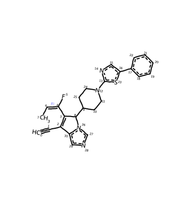 C#CC1=C(/C(F)=C\C)C(C2CCN(c3ncc(-c4ccccc4)s3)CC2)n2cncc21